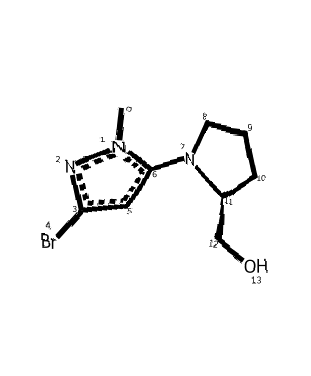 Cn1nc(Br)cc1N1CCC[C@H]1CO